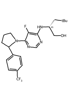 CC(C)(C)C[C@H](CO)Nc1ncnc(N2CCCC2c2ccc(C(F)(F)F)cc2)c1F